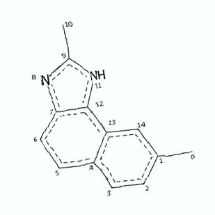 Cc1ccc2ccc3nc(C)[nH]c3c2c1